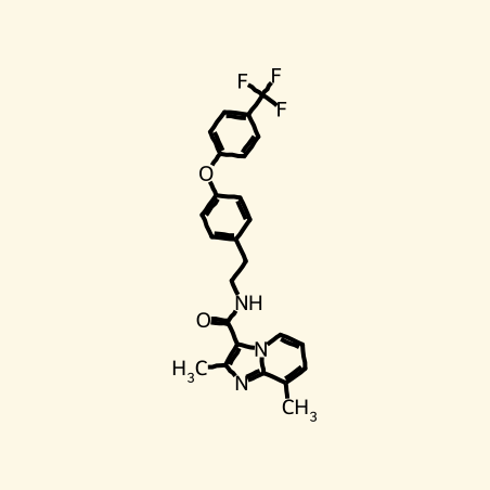 Cc1nc2c(C)cccn2c1C(=O)NCCc1ccc(Oc2ccc(C(F)(F)F)cc2)cc1